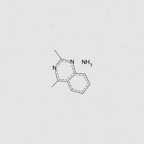 Cc1nc(C)c2ccccc2n1.N